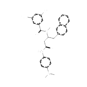 CN(C)c1ccc(NC(=O)CC(Cc2ccc3ccccc3c2)N(C)C(=O)c2cc(C(F)(F)F)cc(C(F)(F)F)c2)cc1